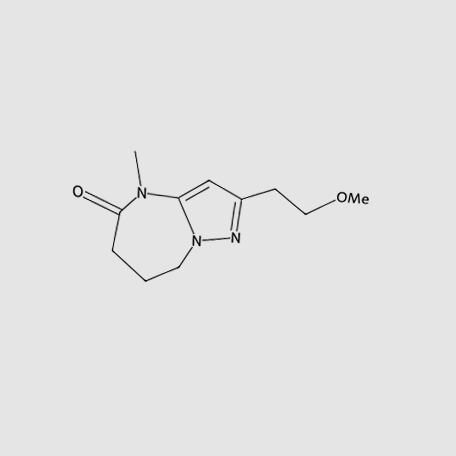 COCCc1cc2n(n1)CCCC(=O)N2C